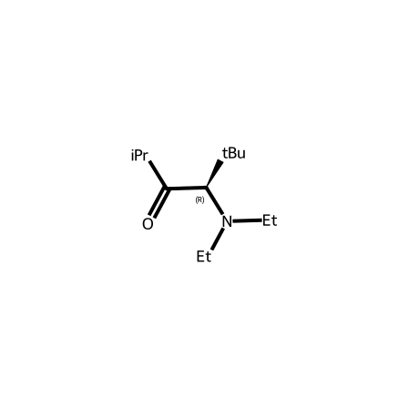 CCN(CC)[C@@H](C(=O)C(C)C)C(C)(C)C